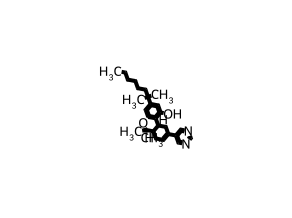 CCCCCCC(C)(C)c1cc(O)c2c(c1)OC(C)(C)[C@@H]1CC=C(c3cncnc3)C[C@@H]21